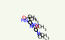 CCN(CC)c1ccc(-c2nc3cc4c(cc3[nH]2)C(C)(C)CC(=O)N4)c(OC)c1